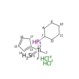 Cl.Cl.[CH3][Ti]([CH3])(=[SiH2])([PH]C1CCCCC1)[C]1=CC=CC1